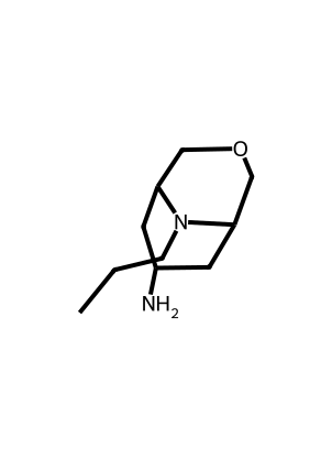 CCCN1C2COCC1CC(N)C2